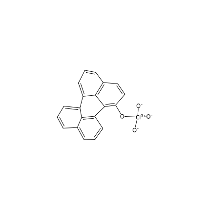 [O-][Cl+3]([O-])([O-])Oc1ccc2cccc3c4cccc5cccc(c1c23)c54